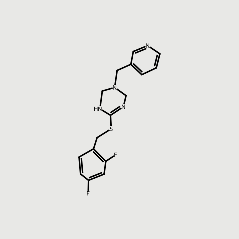 Fc1ccc(CSC2=NCN(Cc3cccnc3)CN2)c(F)c1